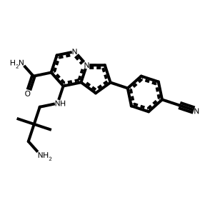 CC(C)(CN)CNc1c(C(N)=O)cnn2cc(-c3ccc(C#N)cc3)cc12